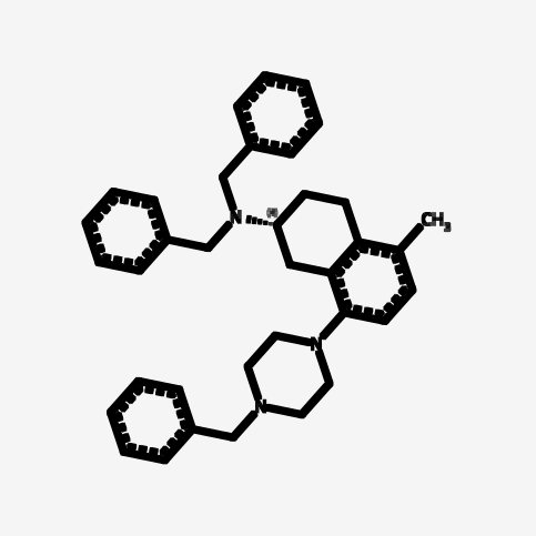 Cc1ccc(N2CCN(Cc3ccccc3)CC2)c2c1CC[C@@H](N(Cc1ccccc1)Cc1ccccc1)C2